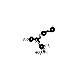 CCC(Oc1ccc(SCc2sc(-c3ccc(C(F)(F)F)cc3)cc2COc2ccc(CCc3ccccc3)cc2)cc1C)C(=O)O